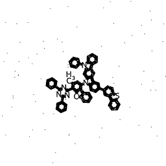 Cc1cc(-n2c3ccc(-c4ccc5sc6ccccc6c5c4)cc3c3cc4c5ccccc5n(-c5ccccc5)c4cc32)c2c(oc3ccccc32)c1-c1nc(-c2ccccc2)nc(-c2ccccc2)n1